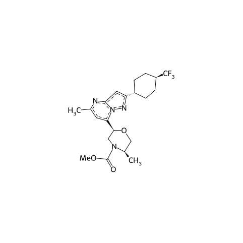 COC(=O)N1C[C@@H](c2cc(C)nc3cc([C@H]4CC[C@H](C(F)(F)F)CC4)nn23)OC[C@H]1C